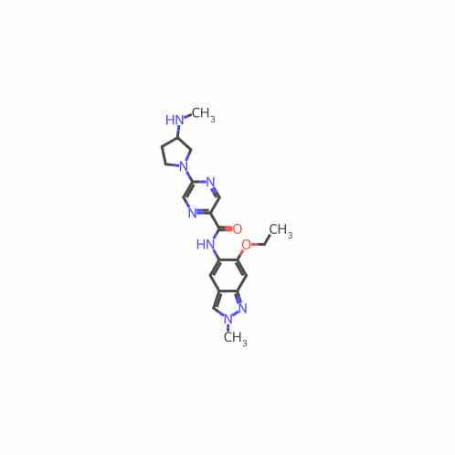 CCOc1cc2nn(C)cc2cc1NC(=O)c1cnc(N2CCC(NC)C2)cn1